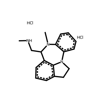 CNCC1c2cccc3c2N(CC3)c2ccccc2N1C.Cl.Cl